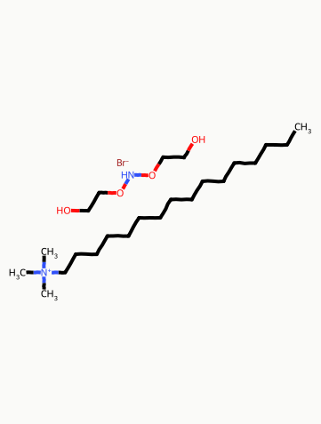 CCCCCCCCCCCCCCCC[N+](C)(C)C.OCCONOCCO.[Br-]